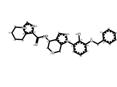 O=C(N[C@@H]1COCc2c1cnn2-c1cccc(OCc2ccccc2)c1Cl)c1ncn2c1CCCC2